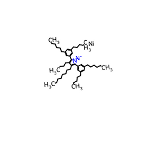 CCCCCCCCC1=C(c2cc(CCCCC)cc(CCCCCC)c2)[N+](=[N-])C(c2cc(CCCCC)cc(CCCCCC)c2)=C1CCCC.[Ni]